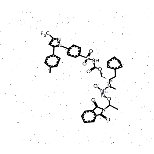 Cc1ccc(-c2cc(C(F)(F)F)nn2-c2ccc(S(=O)(=O)NC(=O)OC[C@H](Cc3ccccc3)N(C)/[N+]([O-])=N\OC(C)N3C(=O)c4ccccc4C3=O)cc2)cc1